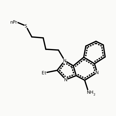 CCCSCCCCn1c(CC)nc2c(N)nc3ccccc3c21